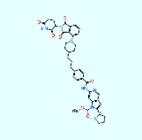 CN1CCC[C@@H]1c1cc2cnc(NC(=O)c3ccc(CCCC4CCN(c5cccc6c5C(=O)N(C5CCC(=O)NC5=O)C6=O)CC4)cc3)cc2n1C(=O)OC(C)(C)C